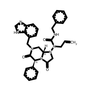 C=CCN(C(=O)NCc1ccccc1)N1CC(=O)N2[C@@H](c3ccccc3)C(=O)N(Cc3cccc4nc[nH]c34)C[C@@H]21